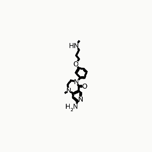 CNCCCOc1cccc(N2CCN(C)c3cc(N)ncc3C2=O)c1